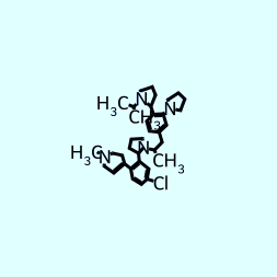 CC(C)N1CCCC1c1ccc(CC(C)N2CCCC2c2cc(Cl)ccc2C2=CCN(C)CC2)cc1N1CCCC1